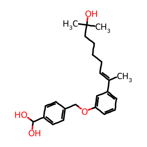 CC(=CCCCCC(C)(C)O)c1cccc(OCc2ccc(C(O)O)cc2)c1